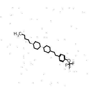 CCCCC[C@H]1CC[C@H](C2CCC(CCc3ccc(OC(F)(F)F)cc3)CC2)CC1